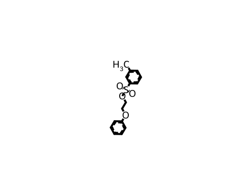 Cc1cccc(S(=O)(=O)OCCOc2ccccc2)c1